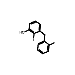 Oc1cccc(Cc2ccccc2I)c1I